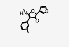 CNC1=C(c2cccc(C)c2)C(=O)C(c2ccoc2)O1